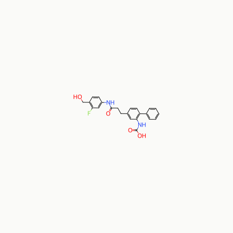 O=C(O)Nc1cc(CCC(=O)Nc2ccc(CO)c(F)c2)ccc1-c1ccccc1